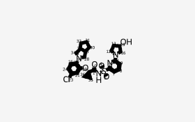 O=C(NS(=O)(=O)c1cccc(N2CC[C@H](O)C2)n1)C1(Oc2cc(Cl)ccc2N2CC3CCCC3C2)CC1